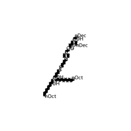 CCCCCCCC/C=C\CCCCCC[C@H](O)CN(CCCCCSSCCCCCN1CCN(CCOC(=O)CCCN(CC(O)CCCCCCCCCC)CC(O)CCCCCCCCCC)CC1)C[C@@H](O)CCCCCC/C=C\CCCCCCCC